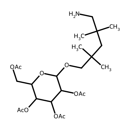 CC(=O)OCC1OC(OCC(C)(C)CC(C)(C)CN)C(OC(C)=O)C(OC(C)=O)C1OC(C)=O